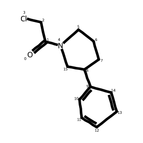 O=C(CCl)N1CCCC(c2ccccc2)C1